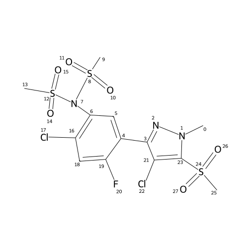 Cn1nc(-c2cc(N(S(C)(=O)=O)S(C)(=O)=O)c(Cl)cc2F)c(Cl)c1S(C)(=O)=O